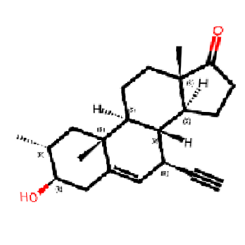 C#C[C@H]1C=C2C[C@@H](O)[C@H](C)C[C@]2(C)[C@H]2CC[C@]3(C)C(=O)CC[C@H]3[C@H]12